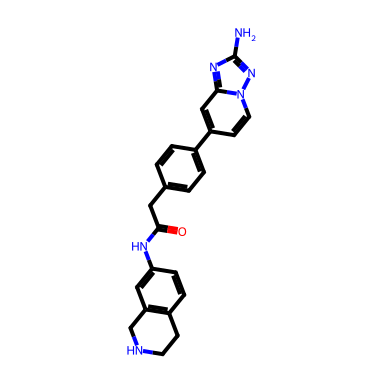 Nc1nc2cc(-c3ccc(CC(=O)Nc4ccc5c(c4)CNCC5)cc3)ccn2n1